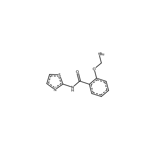 CC(C)(C)COc1ccccc1C(=O)Nc1nccs1